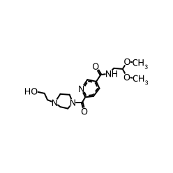 COC(CNC(=O)c1ccc(C(=O)N2CCN(CCO)CC2)nc1)OC